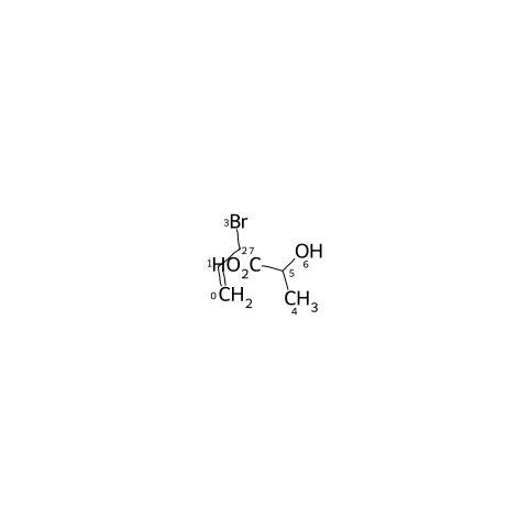 C=CCBr.CC(O)C(=O)O